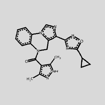 Cc1n[nH]c(C)c1C(=O)N1Cc2c(-c3noc(C4CC4)n3)ncn2-c2ccccc21